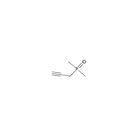 C#CCP(C)(C)=O